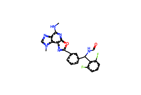 CNc1nc2oc(-c3cccc(C(NC=O)c4c(F)cccc4F)c3)nc2c2c1ncn2C